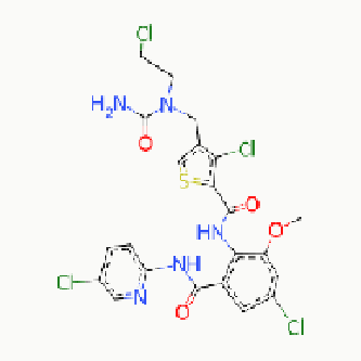 COc1cc(Cl)cc(C(=O)Nc2ccc(Cl)cn2)c1NC(=O)c1scc(CN(CCCl)C(N)=O)c1Cl